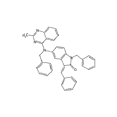 Cc1nc(N(Cc2ccccc2)c2ccc3c(c2)C(=Cc2ccccc2)C(=O)N3Cc2ccccc2)c2ccccc2n1